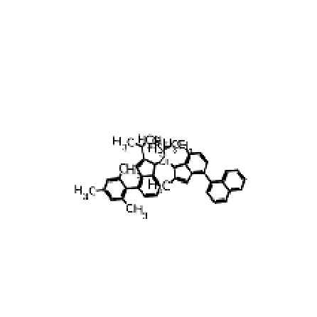 CC1=Cc2c(-c3cccc4ccccc34)ccc(C)c2[CH]1[Zr]([CH]1C(C(C)C)=Cc2c(-c3c(C)cc(C)cc3C)cccc21)[SiH](C)C